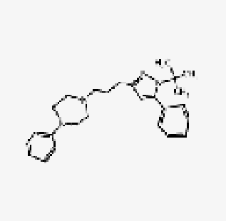 CC(C)(C)n1nc(CCCN2CCN(c3ccccc3)CC2)cc1-c1ccccc1